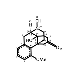 COc1cccc2c1[C@]13CCN(C)[C@H](C2)C1(O)CCC(=O)C3